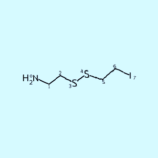 NCCSSCCI